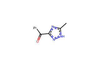 Cc1nc(C(=O)C(C)C)n[nH]1